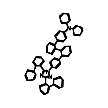 c1ccc(-c2ccccc2-c2nc(-c3ccccc3-c3ccccc3)n(-c3ccc(-c4ccccc4-c4ccccc4-c4ccc(N(c5ccccc5)c5ccccc5)cc4)cc3)n2)cc1